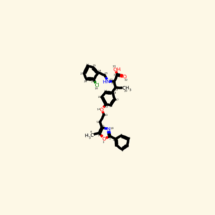 Cc1oc(-c2ccccc2)nc1CCOc1ccc(C(C)C(NCc2ccccc2Cl)C(=O)O)cc1